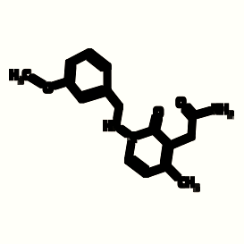 COc1cccc(CNn2ccc(C)c(CC(N)=O)c2=O)c1